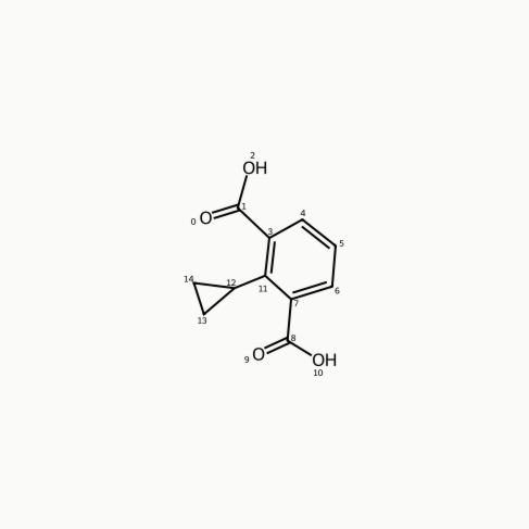 O=C(O)c1cccc(C(=O)O)c1C1CC1